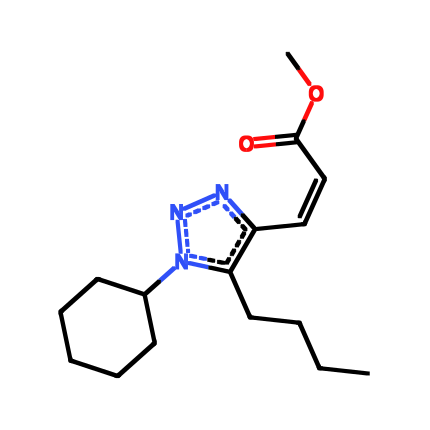 CCCCc1c(/C=C\C(=O)OC)nnn1C1CCCCC1